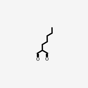 CCCCCC([C]=O)[C]=O